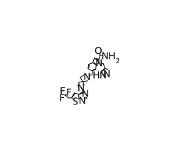 NC(=O)c1cc2ccc(CN3CCC4(CCN(c5ncnc6sc(CC(F)(F)F)cc56)C4)C3)cc2n1Cc1cn[nH]c1